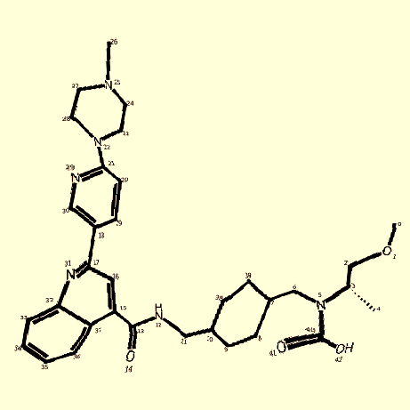 COC[C@H](C)N(CC1CCC(CNC(=O)c2cc(-c3ccc(N4CCN(C)CC4)nc3)nc3ccccc23)CC1)C(=O)O